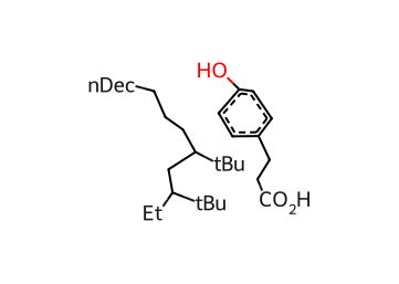 CCCCCCCCCCCCCC(CC(CC)C(C)(C)C)C(C)(C)C.O=C(O)CCc1ccc(O)cc1